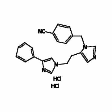 Cl.Cl.N#Cc1ccc(Cn2cncc2CCn2cnc(-c3ccccc3)c2)cc1